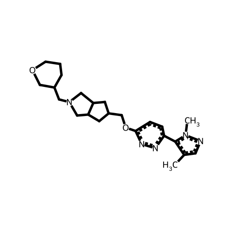 Cc1cnn(C)c1-c1ccc(OCC2CC3CN(CC4CCCOC4)CC3C2)nn1